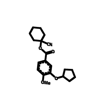 COc1ccc(C(=O)OC2(C#N)CCCCC2)cc1OC1CCCC1